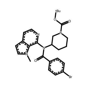 Cn1ccc2ccnc(N(C(=O)c3ccc(Br)cc3)C3CCCN(C(=O)OC(C)(C)C)C3)c21